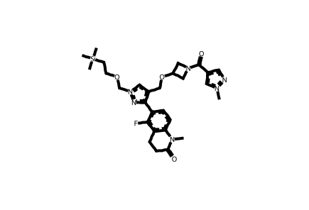 CN1C(=O)CCc2c1ccc(-c1nn(COCC[Si](C)(C)C)cc1COC1CN(C(=O)c3cnn(C)c3)C1)c2F